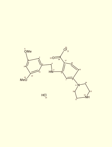 COc1cc(CNc2cc(N3CCNCC3)ccc2C(=O)C(F)(F)F)cc(OC)c1.Cl